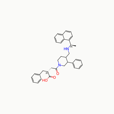 C[C@@H](NCC1CCN(C(=O)C[C@@H](Cc2ccccc2)C(=O)O)CC1c1ccccc1)c1cccc2ccccc12